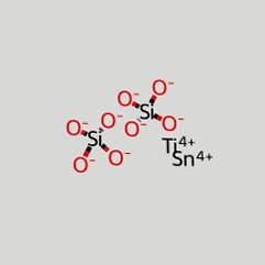 [O-][Si]([O-])([O-])[O-].[O-][Si]([O-])([O-])[O-].[Sn+4].[Ti+4]